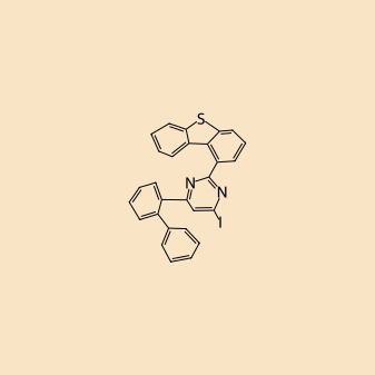 Ic1cc(-c2ccccc2-c2ccccc2)nc(-c2cccc3sc4ccccc4c23)n1